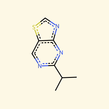 CC(C)c1ncc2scnc2n1